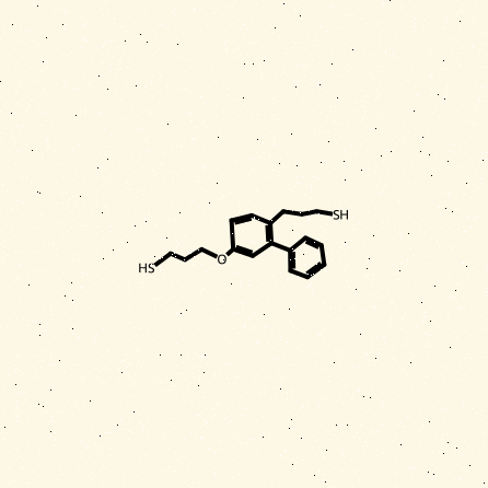 SCCCOc1ccc(CCCS)c(-c2ccccc2)c1